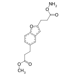 COC(=O)CCc1ccc2oc(CCC(=O)ON)cc2c1